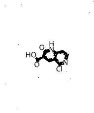 O=C(O)c1cc2c(Cl)nccc2[nH]c1=O